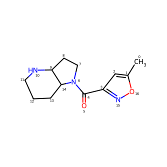 Cc1cc(C(=O)N2CCC3NCCCC32)no1